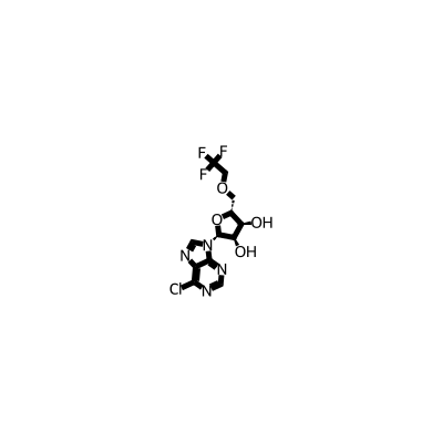 O[C@@H]1[C@H](O)[C@@H](COCC(F)(F)F)O[C@H]1n1cnc2c(Cl)ncnc21